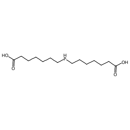 O=C(O)CCCCCCPCCCCCCC(=O)O